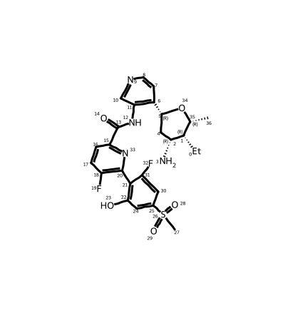 CC[C@@H]1[C@H](N)C[C@H](c2ccncc2NC(=O)c2ccc(F)c(-c3c(O)cc(S(C)(=O)=O)cc3F)n2)O[C@@H]1C